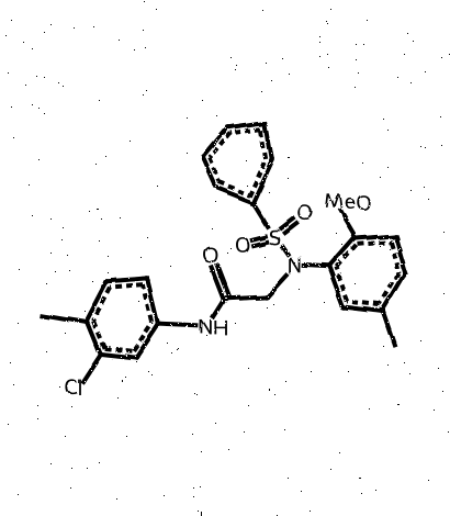 COc1ccc(C)cc1N(CC(=O)Nc1ccc(C)c(Cl)c1)S(=O)(=O)c1ccccc1